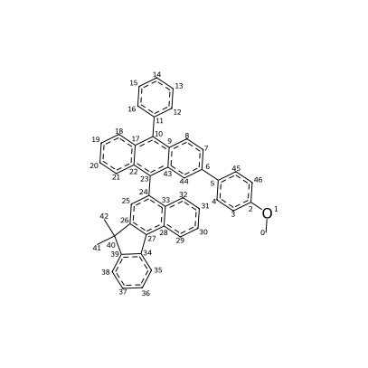 COc1ccc(-c2ccc3c(-c4ccccc4)c4ccccc4c(-c4cc5c(c6ccccc46)-c4ccccc4C5(C)C)c3c2)cc1